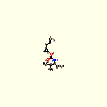 C=CC[C@@H]1C[C@H]1OC(=O)N[C@H](C(=O)O)C(C)C(C)C